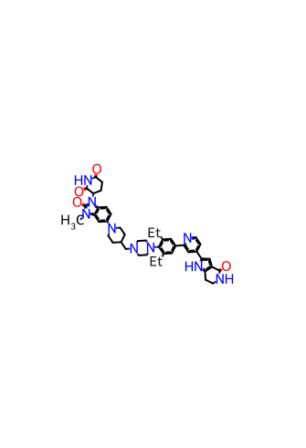 CCc1cc(-c2cc(-c3cc4c([nH]3)CCNC4=O)ccn2)cc(CC)c1N1CCN(CC2CCN(c3ccc4c(c3)n(C)c(=O)n4C3CCC(=O)NC3=O)CC2)CC1